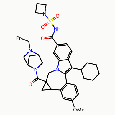 COc1ccc2c(c1)C1CC1(C(=O)N1CC3CC1CN3CC(C)C)Cn1c-2c(C2CCCCC2)c2ccc(C(=O)NS(=O)(=O)N3CCC3)cc21